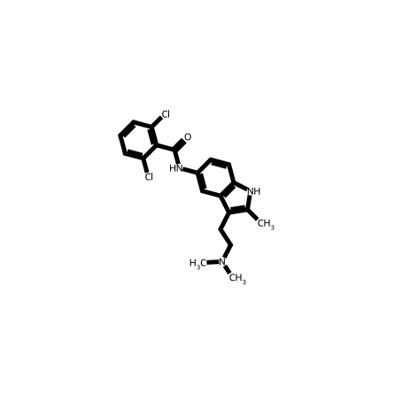 Cc1[nH]c2ccc(NC(=O)c3c(Cl)cccc3Cl)cc2c1CCN(C)C